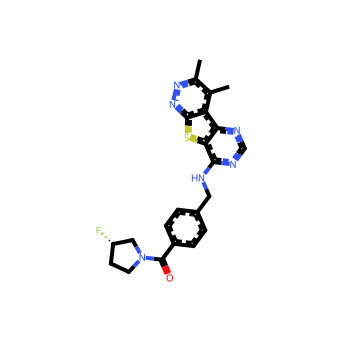 Cc1nnc2sc3c(NCc4ccc(C(=O)N5CC[C@H](F)C5)cc4)ncnc3c2c1C